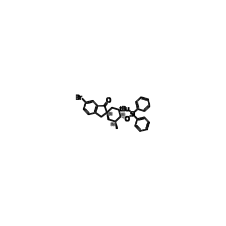 C[C@H]1C[C@@]2(CC[C@@H]1O[Si](c1ccccc1)(c1ccccc1)C(C)(C)C)Cc1ccc(Br)cc1C2=O